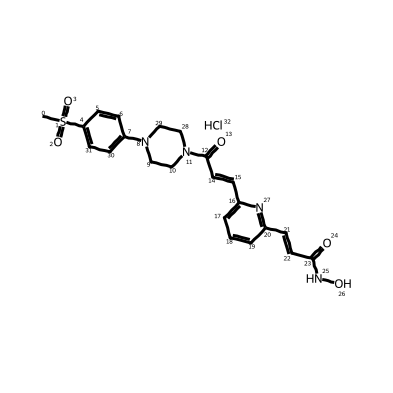 CS(=O)(=O)c1ccc(N2CCN(C(=O)C=Cc3cccc(C=CC(=O)NO)n3)CC2)cc1.Cl